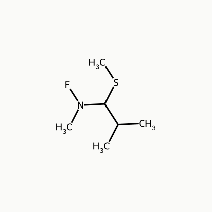 CSC(C(C)C)N(C)F